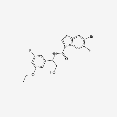 CCOc1cc(F)cc(C(CO)NC(=O)n2ccc3cc(Br)c(F)cc32)c1